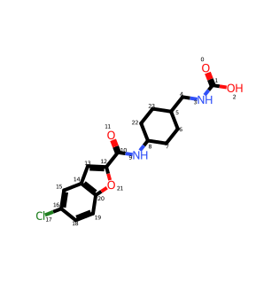 O=C(O)NCC1CCC(NC(=O)c2cc3cc(Cl)ccc3o2)CC1